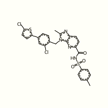 Cc1ccc(S(=O)(=O)NC(=O)c2ccc3nc(C)n(Cc4ccc(-c5ccc(Cl)s5)cc4Cl)c3n2)cc1